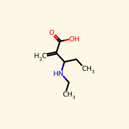 C=C(C(=O)O)C(CC)NCC